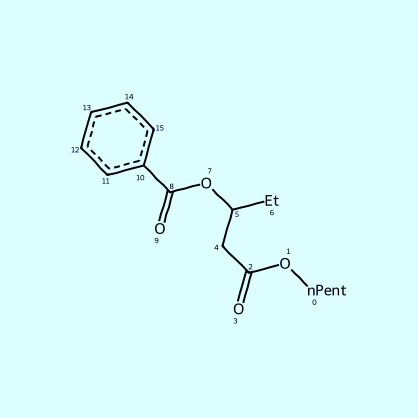 CCCCCOC(=O)CC(CC)OC(=O)c1ccccc1